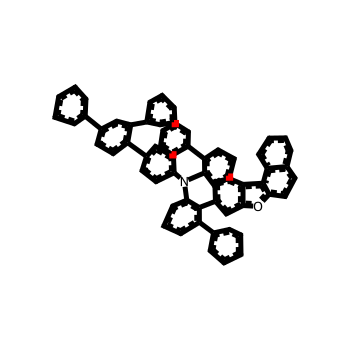 c1ccc(-c2ccc(-c3ccc(N(c4ccccc4-c4ccccc4)c4cccc(-c5ccccc5)c4-c4ccc5c(c4)oc4ccc6ccccc6c45)cc3)c(-c3ccccc3)c2)cc1